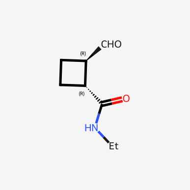 CCNC(=O)[C@@H]1CC[C@H]1C=O